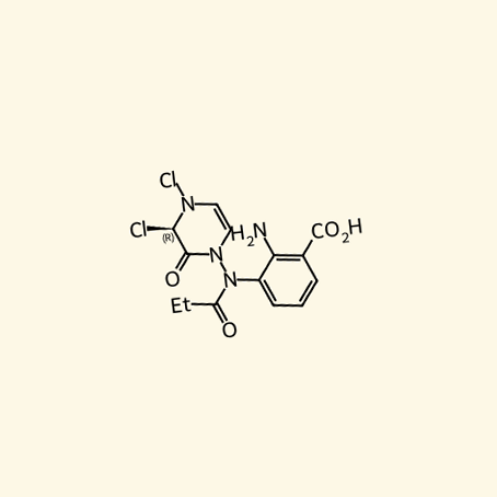 CCC(=O)N(c1cccc(C(=O)O)c1N)N1C=CN(Cl)[C@H](Cl)C1=O